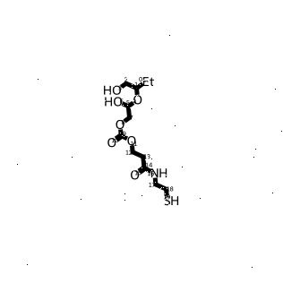 CCC(CO)OC(O)COC(=O)OCCC(=O)NCCS